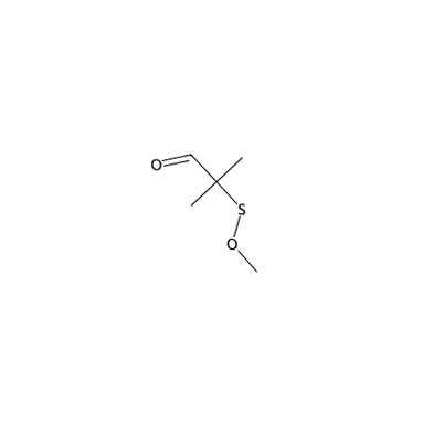 COSC(C)(C)C=O